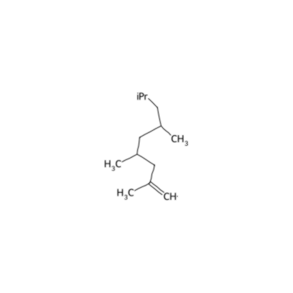 [CH]=C(C)CC(C)CC(C)CC(C)C